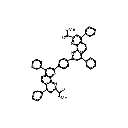 COC(=O)c1cc(-c2ccccc2)c2ccc3c(-c4ccccc4)cc(-c4ccc(-c5cc(-c6ccccc6)c6ccc7c(-c8ccccc8)cc(C(=O)OC)nc7c6n5)cc4)nc3c2n1